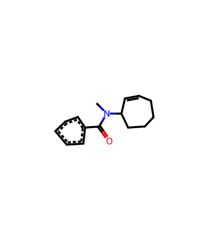 CN(C(=O)c1ccccc1)C1C=CCCCC1